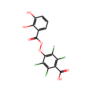 O=C(OOc1c(F)c(F)c(C(=O)O)c(F)c1F)c1cccc(O)c1O